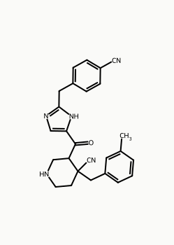 Cc1cccc(CC2(C#N)CCNCC2C(=O)c2cnc(Cc3ccc(C#N)cc3)[nH]2)c1